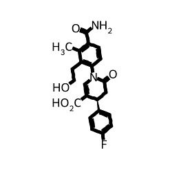 Cc1c(C(N)=O)ccc(N2C=C(C(=O)O)[C@H](c3ccc(F)cc3)CC2=O)c1CCO